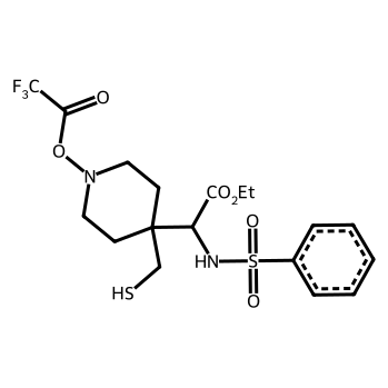 CCOC(=O)C(NS(=O)(=O)c1ccccc1)C1(CS)CCN(OC(=O)C(F)(F)F)CC1